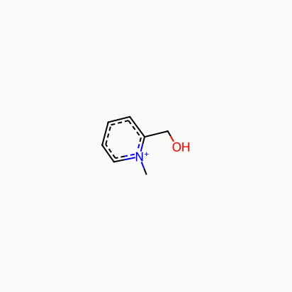 C[n+]1ccccc1CO